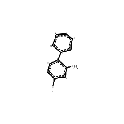 Nc1cc(F)ccc1-c1ccccc1